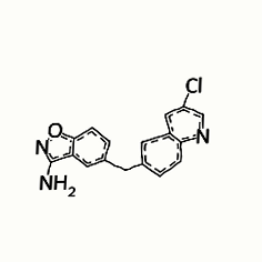 Nc1noc2ccc(Cc3ccc4ncc(Cl)cc4c3)cc12